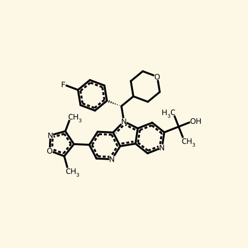 Cc1noc(C)c1-c1cnc2c3cnc(C(C)(C)O)cc3n([C@H](c3ccc(F)cc3)C3CCOCC3)c2c1